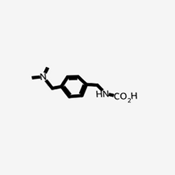 CN(C)Cc1ccc(CNC(=O)O)cc1